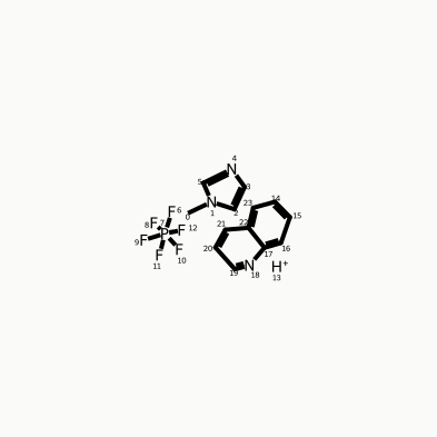 Cn1ccnc1.F[P-](F)(F)(F)(F)F.[H+].c1ccc2ncccc2c1